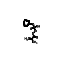 C=C(C)C(=O)OOP(=O)(O)Oc1ccccc1